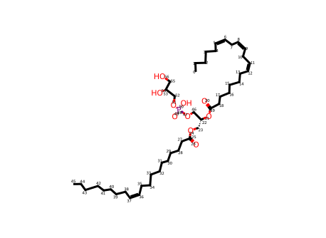 CCCCC/C=C\C/C=C\C/C=C\CCCCCCC(=O)O[C@H](COC(=O)CCCCCCCCC/C=C\CCCCCCCC)COP(=O)(O)OC[C@@H](O)CO